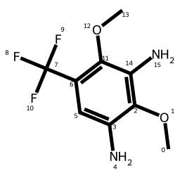 COc1c(N)cc(C(F)(F)F)c(OC)c1N